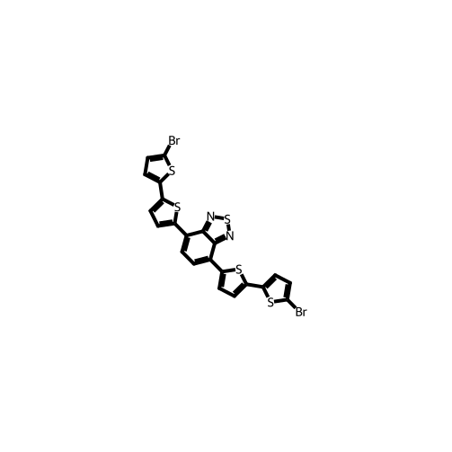 Brc1ccc(-c2ccc(-c3ccc(-c4ccc(-c5ccc(Br)s5)s4)c4nsnc34)s2)s1